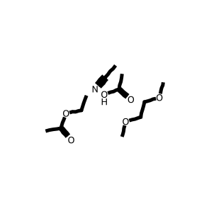 CC#N.CC(=O)O.CCOC(C)=O.COCCOC